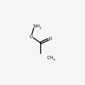 C.CC(=O)O[SiH3]